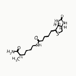 C[C@@H](CCCCNC(=O)CCCCC1SC[C@@H]2NC(=O)N[C@H]12)C(N)=O